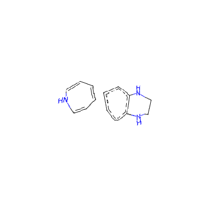 C1=CC=CNC=C1.c1ccc2c(c1)NCCN2